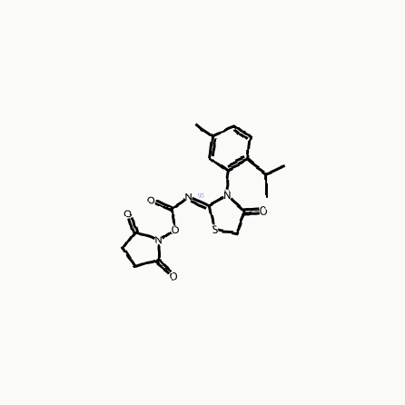 Cc1ccc(C(C)C)c(N2C(=O)CS/C2=N\C(=O)ON2C(=O)CCC2=O)c1